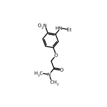 CCNc1cc(OCC(=O)N(C)C)ccc1[N+](=O)[O-]